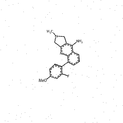 COc1ccc(-c2cccc3c(N)c4c(nc23)CN(C)C4)c(F)c1